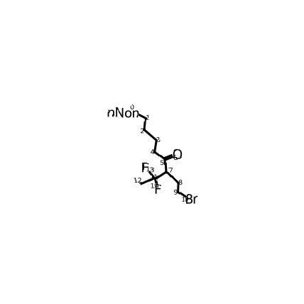 CCCCCCCCCCCCCC(=O)C(CCBr)C(C)(F)F